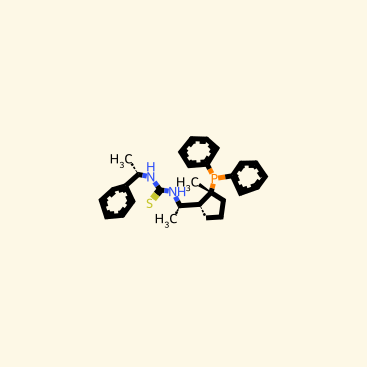 C[C@H](NC(=S)N[C@@H](C)[C@H]1CCC[C@@]1(C)P(c1ccccc1)c1ccccc1)c1ccccc1